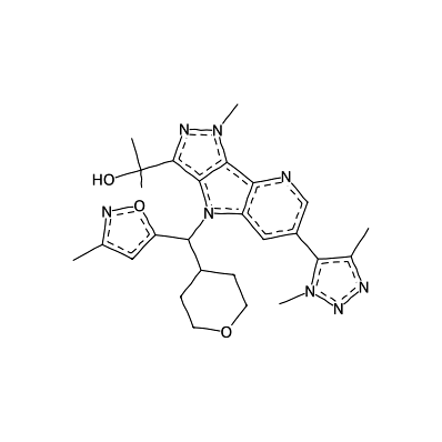 Cc1cc(C(C2CCOCC2)n2c3cc(-c4c(C)nnn4C)cnc3c3c2c(C(C)(C)O)nn3C)on1